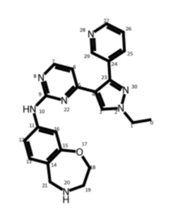 CCn1cc(-c2ccnc(Nc3ccc4c(c3)OCCNC4)n2)c(-c2cccnc2)n1